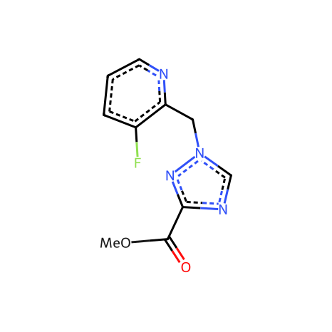 COC(=O)c1ncn(Cc2ncccc2F)n1